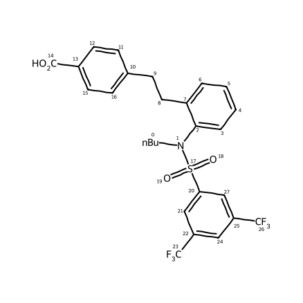 CCCCN(c1ccccc1CCc1ccc(C(=O)O)cc1)S(=O)(=O)c1cc(C(F)(F)F)cc(C(F)(F)F)c1